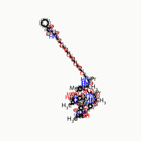 COCCOCCC(=O)N[C@H](C(=O)N[C@@H](C)C(=O)Nc1ccc(COC(=O)N2c3cc(OCCCCCOc4cc5c(cc4OC)C(=O)N4C=C(C)C[C@H]4[C@H](O)N5C(O)OCc4ccc(NC(=O)[C@H](C)NC(=O)[C@@H](NCCCOCCOCCOCCOCCOCCOCCOCCOCCNC(=O)CCN5C(=O)CC(c6ccccccccc6)C5=O)C(C)C)cc4)c(OC)cc3C(=O)N3C=C(C)C[C@H]3[C@@H]2O)cc1)C(C)C